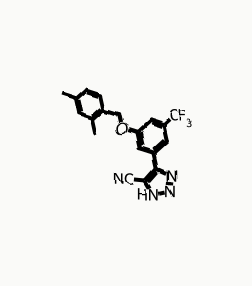 Cc1ccc(COc2cc(-c3nn[nH]c3C#N)cc(C(F)(F)F)c2)c(C)c1